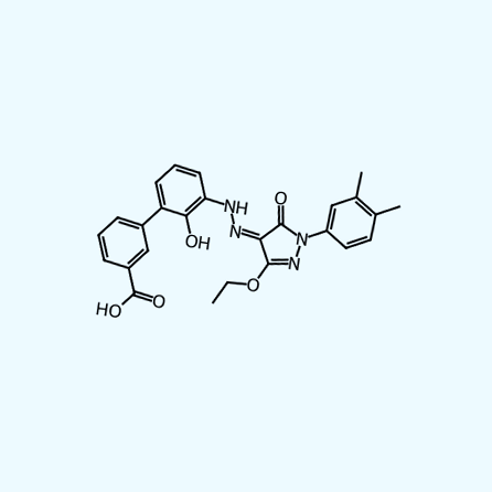 CCOC1=NN(c2ccc(C)c(C)c2)C(=O)C1=NNc1cccc(-c2cccc(C(=O)O)c2)c1O